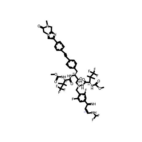 COC(=O)N[C@H](C(=O)N[C@@H](Cc1ccc(C#Cc2ccc(-c3cn4c(n3)CN(C)C(=O)C4)cc2)cc1)[C@@H](O)CN(Cc1c(F)cc(C(=N)/C=C\NC(F)F)cc1F)NC(=O)[C@@H](NC(=O)OC)C(C)(C)C(F)(F)F)C(C)(C)C(F)(F)F